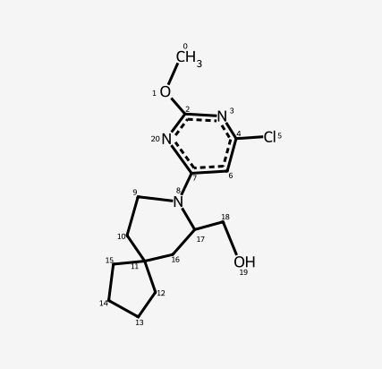 COc1nc(Cl)cc(N2CCC3(CCCC3)CC2CO)n1